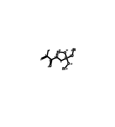 C=C(C)C(=O)NC[Si](OCC)(OCC)OCC